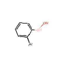 CC(=O)c1ccccc1BO